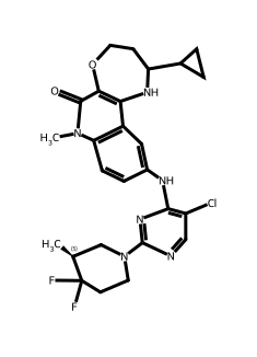 C[C@H]1CN(c2ncc(Cl)c(Nc3ccc4c(c3)c3c(c(=O)n4C)OCCC(C4CC4)N3)n2)CCC1(F)F